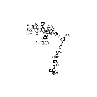 CCCCC(CCCCCCC(=O)NCCNC(=O)c1ccc(NN=Cc2ccccc2S(=O)(=O)O)nc1)OC(=O)OCc1ccc(NC(=O)[C@H](CC(C)C)NC(=O)[C@H](Cc2ccc(OC(C)(C)C)cc2)NC(=O)[C@H](CCc2ccccc2)NC(=O)CNC(=O)[C@H](CC(C)C)NC(=O)[C@@H]2CCCN2C(C)=O)cc1